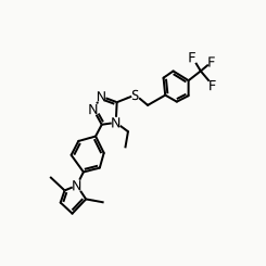 CCn1c(SCc2ccc(C(F)(F)F)cc2)nnc1-c1ccc(-n2c(C)ccc2C)cc1